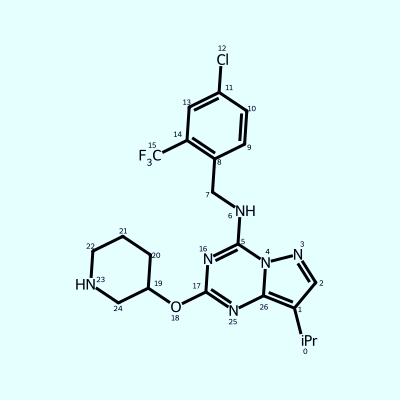 CC(C)c1cnn2c(NCc3ccc(Cl)cc3C(F)(F)F)nc(OC3CCCNC3)nc12